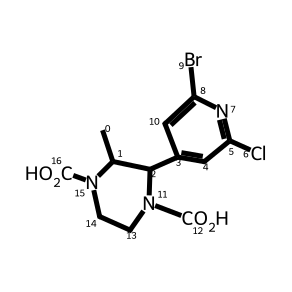 CC1C(c2cc(Cl)nc(Br)c2)N(C(=O)O)CCN1C(=O)O